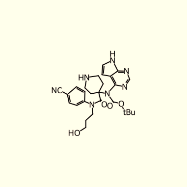 CC(C)(C)OC(=O)N(c1ncnc2[nH]ccc12)C1(C(=O)N(CCCO)c2ccc(C#N)cc2)CCNCC1